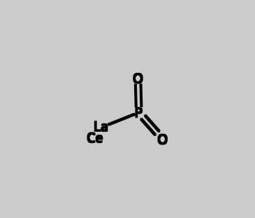 O=[P](=O)[La].[Ce]